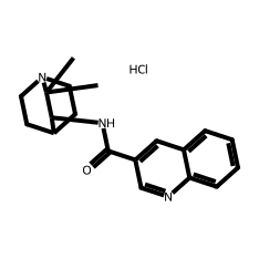 CC1(C)C(NC(=O)c2cnc3ccccc3c2)C2CCN1CC2.Cl